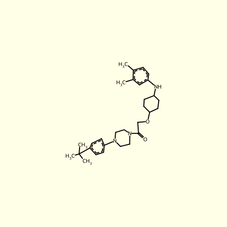 Cc1ccc(NC2CCC(OCC(=O)N3CCN(c4ccc(C(C)(C)C)cc4)CC3)CC2)cc1C